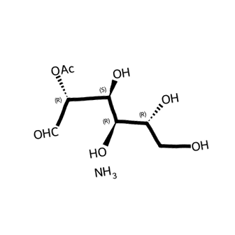 CC(=O)O[C@@H](C=O)[C@@H](O)[C@H](O)[C@H](O)CO.N